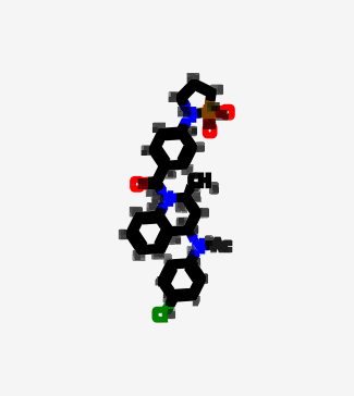 CC(=O)N(c1ccc(Cl)cc1)[C@@H]1C[C@H](C)N(C(=O)c2ccc(N3CCCS3(=O)=O)cc2)c2ccccc21